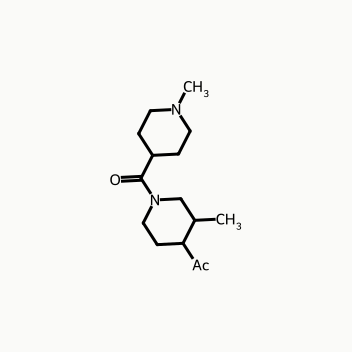 CC(=O)C1CCN(C(=O)C2CCN(C)CC2)CC1C